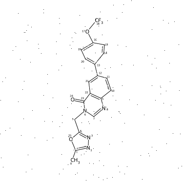 Cc1nnc(Cn2cnc3ccc(-c4ccc(OC(F)(F)F)cc4)cc3c2=O)o1